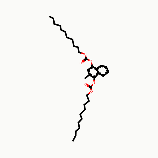 CCCCCCCCCCCOC(=O)Oc1cc(C)c(OC(=O)OCCCCCCCCCCC)c2ccccc12